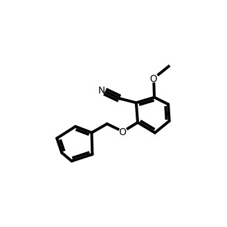 COc1cccc(OCc2ccccc2)c1C#N